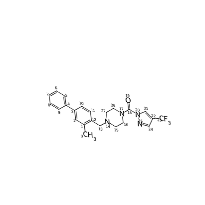 Cc1cc(-c2ccccc2)ccc1CN1CCN(C(=O)n2cc(C(F)(F)F)cn2)CC1